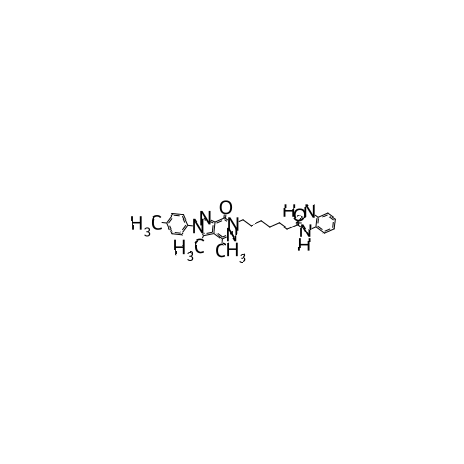 Cc1ccc(-n2nc3c(=O)n(CCCCCCC(=O)Nc4ccccc4N)nc(C)c3c2C)cc1